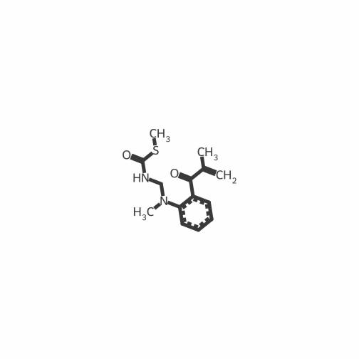 C=C(C)C(=O)c1ccccc1N(C)CNC(=O)SC